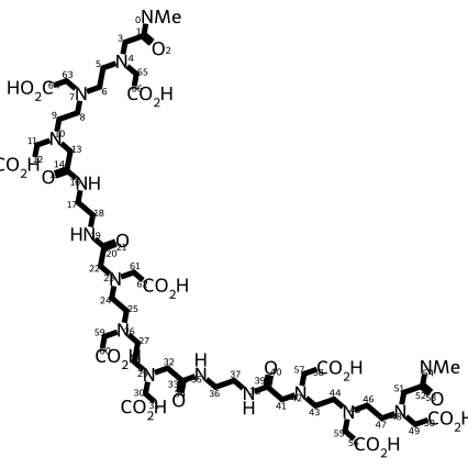 CNC(=O)CN(CCN(CCN(CC(=O)O)CC(=O)NCCNC(=O)CN(CCN(CCN(CC(=O)O)CC(=O)NCCNC(=O)CN(CCN(CCN(CC(=O)O)CC(=O)NC)CC(=O)O)CC(=O)O)CC(=O)O)CC(=O)O)CC(=O)O)CC(=O)O